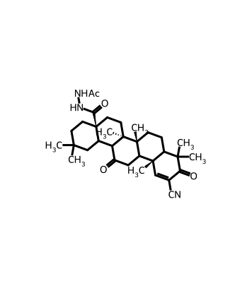 CC(=O)NNC(=O)[C@]12CCC(C)(C)CC1C1C(=O)CC3[C@@]4(C)C=C(C#N)C(=O)C(C)(C)C4CC[C@@]3(C)[C@]1(C)CC2